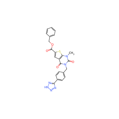 Cn1c(=O)n(Cc2ccc(-c3nn[nH]n3)cc2)c(=O)c2cc(C(=O)OCc3ccccc3)sc21